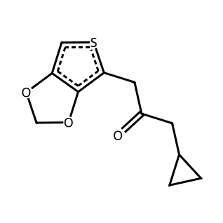 O=C(Cc1scc2c1OCO2)CC1CC1